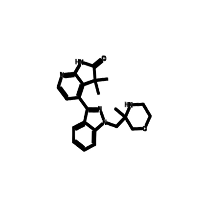 CC1(Cn2nc(-c3ccnc4c3C(C)(C)C(=O)N4)c3ccccc32)COCCN1